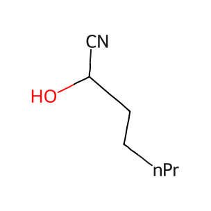 CCCCCC(O)C#N